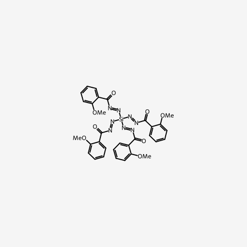 COc1ccccc1C(=O)N=N[Si](N=NC(=O)c1ccccc1OC)(N=NC(=O)c1ccccc1OC)N=NC(=O)c1ccccc1OC